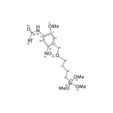 COc1cc(COCCCC[Si](OC)(OC)OC)c([N+](=O)[O-])cc1N[C](=O)[Rf]